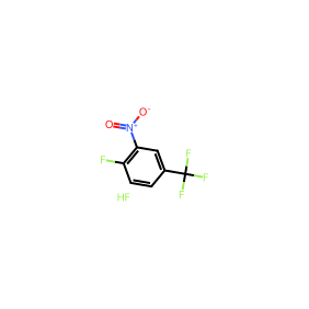 F.O=[N+]([O-])c1cc(C(F)(F)F)ccc1F